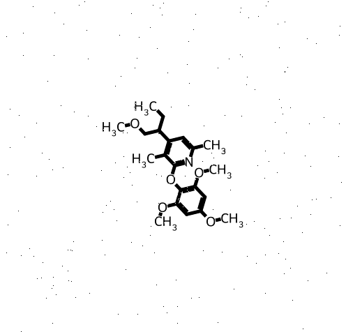 CC[C](COC)c1cc(C)nc(Oc2c(OC)cc(OC)cc2OC)c1C